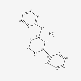 Cl.c1ccc(CN2CCOC(c3ccccc3)C2)cc1